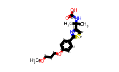 COCCCOc1ccc(-c2nc(C(C)(C)NC(=O)O)cs2)cc1